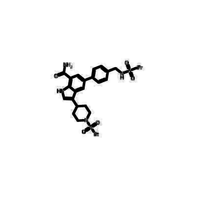 CCS(=O)(=O)N1CCC(c2c[nH]c3c(C(N)=O)cc(-c4ccc(CNS(=O)(=O)C(C)C)cc4)cc23)CC1